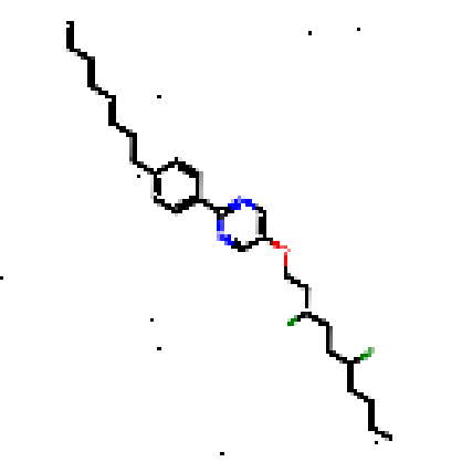 CCCCCCCCc1ccc(-c2ncc(OCCC(F)CCC(F)CCCC)cn2)cc1